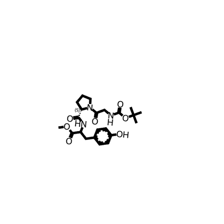 COC(=O)C(Cc1ccc(O)cc1)NC(=O)[C@@H]1CCCN1C(=O)CNC(=O)OC(C)(C)C